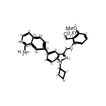 CCOC(=O)Cc1c(OC)cccc1OCc1nn(C2CCC2)c2ccc(-c3ccc4ccnc(N)c4c3)cc12